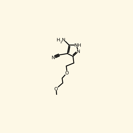 COCCOCCc1n[nH]c(N)c1C#N